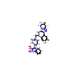 O=c1[nH]c2ccccc2n1C1CCN(CCCc2c(-c3ccccc3)nc3ccccn23)CC1